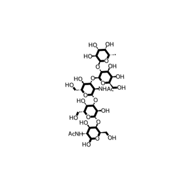 CC(=O)N[C@H]1[C@H](O[C@H]2[C@@H](O)[C@@H](CO)O[C@@H](O[C@@H]3[C@H](O)[C@@H](NC(C)=O)C(O)O[C@@H]3CO)[C@@H]2O)O[C@H](CO)[C@@H](O)[C@@H]1O[C@@H]1O[C@H](CO)[C@H](O)[C@H](O)[C@H]1O[C@@H]1O[C@@H](C)[C@@H](O)[C@@H](O)[C@@H]1O